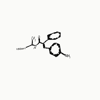 CCCCCCCCCC(C)NC(=O)/C(=C/c1ccc(N)cc1)c1ccccc1